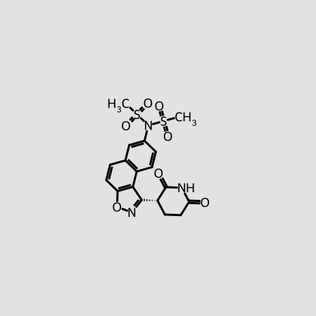 CS(=O)(=O)N(c1ccc2c(ccc3onc([C@H]4CCC(=O)NC4=O)c32)c1)S(C)(=O)=O